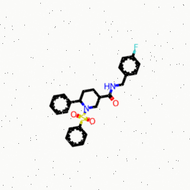 O=C(NCc1ccc(F)cc1)C1CCC(c2ccccc2)N(S(=O)(=O)c2ccccc2)C1